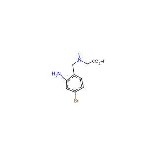 CN(CC(=O)O)Cc1ccc(Br)cc1N